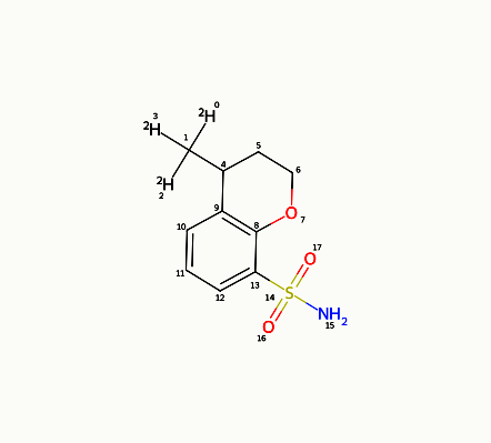 [2H]C([2H])([2H])C1CCOc2c1cccc2S(N)(=O)=O